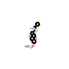 CC(C)(NC(=O)C1CC[C@H]2[C@@H]3CC=C4C=C(OC(=O)O)CC[C@]4(C)[C@H]3CC[C@]12C)c1ccc(F)cc1